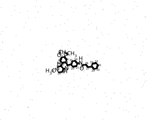 COc1cc2c(cc1OC)[C@H]1CN(C)CC[C@H]1N=C2c1ccc(NC(=O)C=Cc2ccccc2)cc1